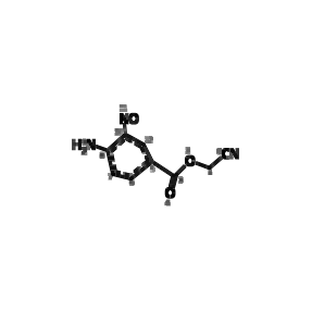 N#CCOC(=O)c1ccc(N)c(N=O)c1